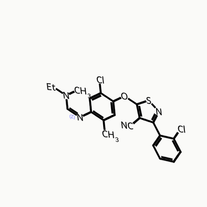 CCN(C)/C=N\c1cc(Cl)c(Oc2snc(-c3ccccc3Cl)c2C#N)cc1C